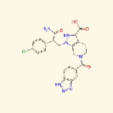 NC(=O)C(CN1NC(C(=O)O)C2=C1CN(C(=O)c1ccc3[nH]nnc3c1)CC2)c1ccc(Cl)cc1